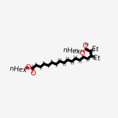 CCCCCCOC(=O)CCCCCCCCCCCCCCC(CC)C(CC)C(=O)OCCCCCC